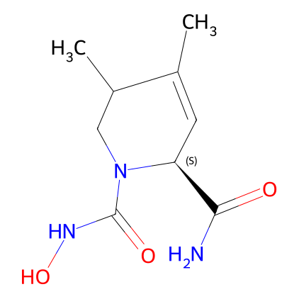 CC1=C[C@@H](C(N)=O)N(C(=O)NO)CC1C